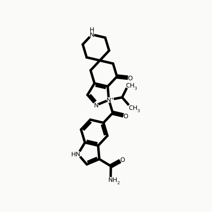 CC(C)[N+]1(C(=O)c2ccc3[nH]cc(C(N)=O)c3c2)N=CC2=C1C(=O)CC1(CCNCC1)C2